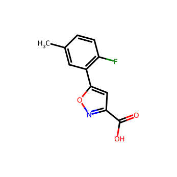 Cc1ccc(F)c(-c2cc(C(=O)O)no2)c1